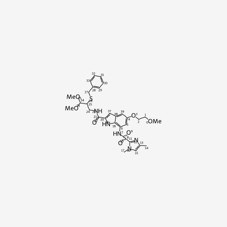 COCCOc1cc(NS(=O)(=O)c2nc(C)cn2C)c2[nH]c(C(=O)NCC(SCc3ccccc3)C(OC)OC)cc2c1